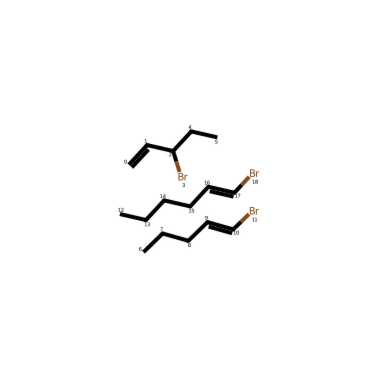 C=CC(Br)CC.CCC/C=C/Br.CCCC/C=C/Br